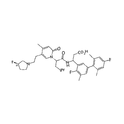 Cc1cc(=O)n(C(CC(C)C)C(=O)NC(CC(=O)O)c2cc(-c3c(C)cc(F)cc3C)cc(C)c2F)cc1CCN1CC[C@@H](F)C1